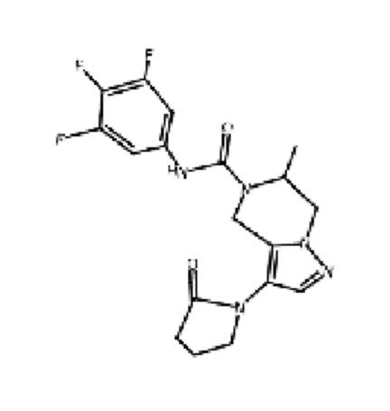 CC1Cn2ncc(N3CCCC3=O)c2CN1C(=O)Nc1cc(F)c(F)c(F)c1